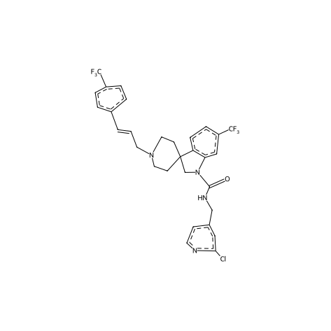 O=C(NCc1ccnc(Cl)c1)N1CC2(CCN(C/C=C/c3ccc(C(F)(F)F)cc3)CC2)c2ccc(C(F)(F)F)cc21